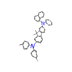 Cc1ccc(N(c2ccc(C)cc2)c2ccc3c(c2)C(C)(C)c2cc(N(c4ccccc4)c4cccc5ccccc45)ccc2-3)cc1